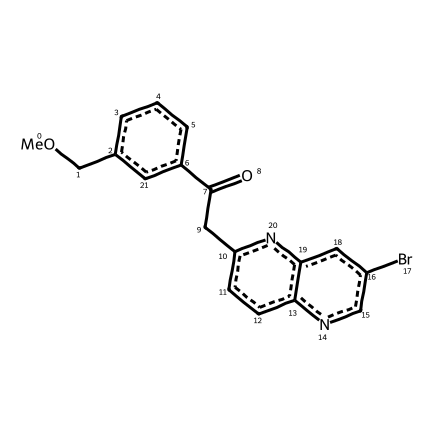 COCc1cccc(C(=O)Cc2ccc3ncc(Br)cc3n2)c1